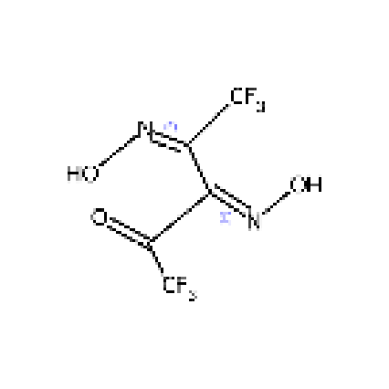 O=C(C(=N/O)/C(=N\O)C(F)(F)F)C(F)(F)F